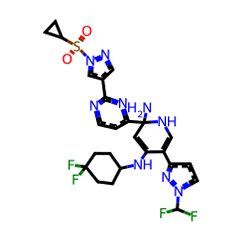 NC1(c2ccnc(-c3cnn(S(=O)(=O)C4CC4)c3)n2)C=C(NC2CCC(F)(F)CC2)C(c2ccn(C(F)F)n2)=CN1